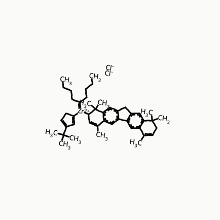 CCCC[C](CCCC)=[Zr+2]([C]1=CC(C(C)(C)C)=CC1)[CH]1C=C(C)c2cc3c(cc2C1(C)C)Cc1cc2c(cc1-3)C(C)=CCC2(C)C.[Cl-].[Cl-]